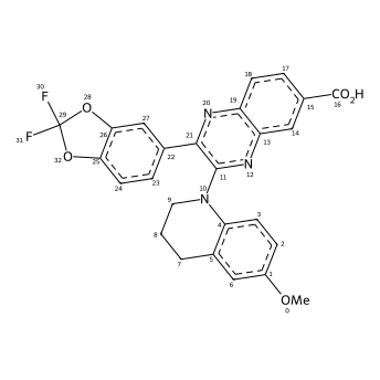 COc1ccc2c(c1)CCCN2c1nc2cc(C(=O)O)ccc2nc1-c1ccc2c(c1)OC(F)(F)O2